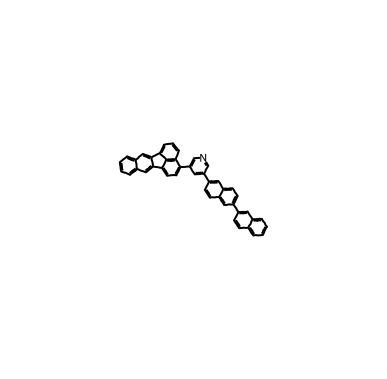 c1ccc2cc(-c3ccc4cc(-c5cncc(-c6ccc7c8c(cccc68)-c6cc8ccccc8cc6-7)c5)ccc4c3)ccc2c1